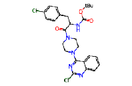 CC(C)(C)OC(=O)NC(Cc1ccc(Cl)cc1)C(=O)N1CCN(c2nc(Cl)nc3ccccc23)CC1